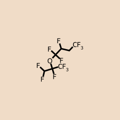 FC(CC(F)(F)F)C(F)(F)OC(F)(C(F)F)C(F)(F)F